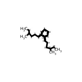 CCC(C)CCC=c1ccccc1=CCCC(C)CC